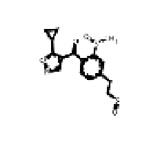 C[S+]([O-])c1cc(CC[S+]=O)ccc1C(=O)c1cnoc1C1CC1